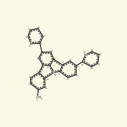 Cc1ccc2c3cc(-c4ccccn4)cc4c5cc(-c6ccccn6)ccc5n(c2c1)c43